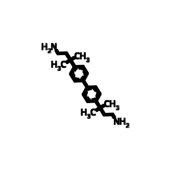 CC(C)(CCN)c1ccc(-c2ccc(C(C)(C)CCN)cc2)cc1